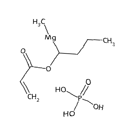 C=CC(=O)O[CH](CCC)[Mg][CH3].O=P(O)(O)O